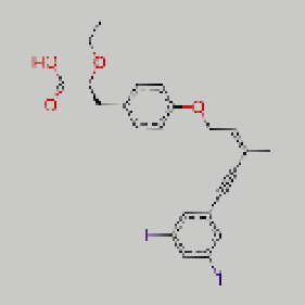 CCO[C@@H](Cc1ccc(OC/C=C(/C)C#Cc2cc(I)cc(I)c2)cc1)C(=O)O